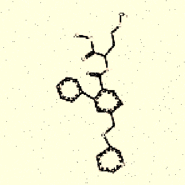 COC(=O)C(CCSC)NC(=O)c1ccc(COc2cccnc2)cc1-c1ccccc1